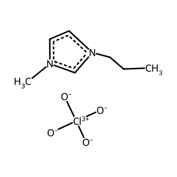 CCCn1cc[n+](C)c1.[O-][Cl+3]([O-])([O-])[O-]